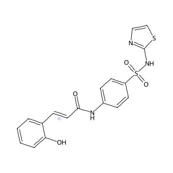 O=C(/C=C/c1ccccc1O)Nc1ccc(S(=O)(=O)Nc2nccs2)cc1